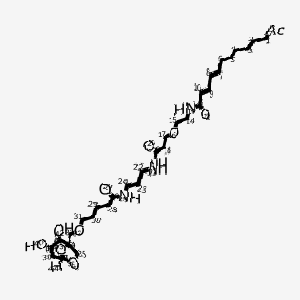 CC(=O)CCCCCCCCCCC(=O)NCCOCCC(=O)NCCCNC(=O)CCCCOC[C@]12CO[C@H](C[C@@H](O)[C@H]1O)O2